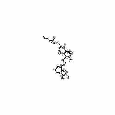 C=CCCC(=O)NCC(=O)N(C)c1ccc(Cl)c(COc2cccn3c(Br)c(C)nc23)c1Cl.Cl